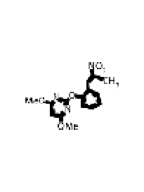 COc1cc(OC)nc(Oc2ccccc2C=C(C)[N+](=O)[O-])n1